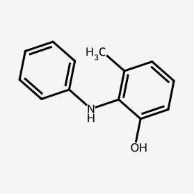 Cc1cccc(O)c1Nc1ccccc1